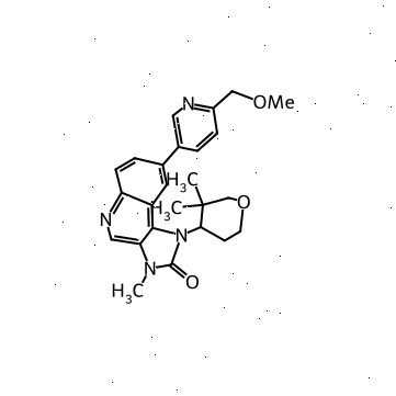 COCc1ccc(-c2ccc3ncc4c(c3c2)n(C2CCOCC2(C)C)c(=O)n4C)cn1